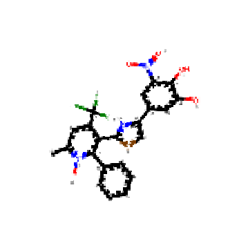 Cc1cc(C(F)(F)F)c(-c2nc(-c3cc(O)c(O)c([N+](=O)[O-])c3)cs2)c(-c2ccccc2)[n+]1[O-]